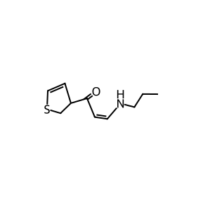 CCCN/C=C\C(=O)C1C=CSC1